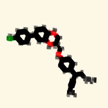 CC#CC(CC(=O)O)c1ccc(OC[C@H]2COc3ccc(-c4ccc(Cl)cc4)cc3O2)cc1